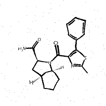 Cc1nc(C(=O)N2[C@H](C(N)=O)C[C@@H]3CCC[C@@H]32)c(-c2ccccc2)s1